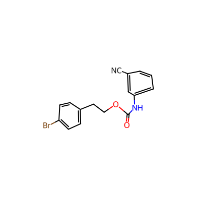 N#Cc1cccc(NC(=O)OCCc2ccc(Br)cc2)c1